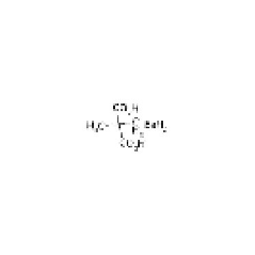 CC(C)(C(=O)O)C(=O)O.[BaH2]